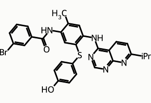 Cc1cc(Nc2ncnc3nc(C(C)C)ccc23)c(Sc2ccc(O)cc2)cc1NC(=O)c1cccc(Br)c1